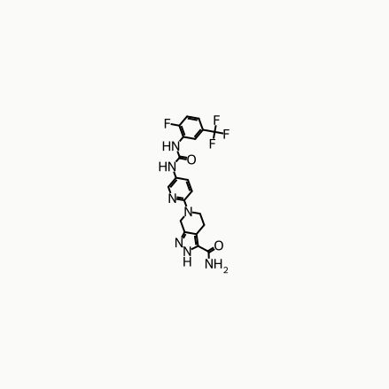 NC(=O)c1[nH]nc2c1CCN(c1ccc(NC(=O)Nc3cc(C(F)(F)F)ccc3F)cn1)C2